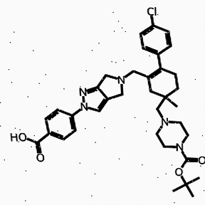 CC1(CN2CCN(C(=O)OC(C)(C)C)CC2)CCC(c2ccc(Cl)cc2)=C(CN2Cc3cn(-c4ccc(C(=O)O)cc4)nc3C2)C1